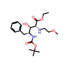 CCOC(=O)[C@H](NCCOC)[C@H](O)[C@H](Cc1ccccc1)NC(=O)OC(C)(C)C